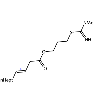 CCCCCCC/C=C/CC(=O)OCCCSC(=N)NC